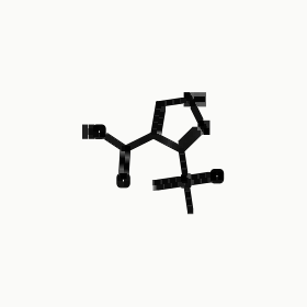 C=S(C)(=O)c1n[nH]cc1C(=O)O